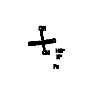 O=S(=O)(O)O.[Fe].[K+].[OH-]